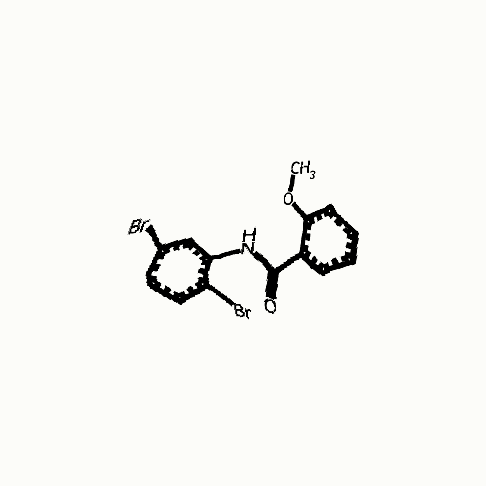 COc1ccccc1C(=O)Nc1cc(Br)ccc1Br